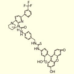 O=C(O)c1cc(NC(=S)NCc2ccc(NC(=O)N3c4nc(-c5cccc(C(F)(F)F)c5)ccc4N4CCC[C@H]3C4)cc2)ccc1-c1c2ccc(=O)cc-2oc2cc(O)ccc12